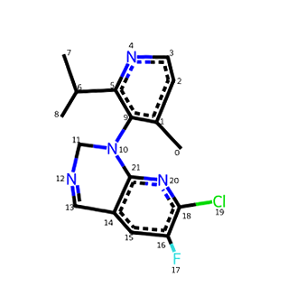 Cc1ccnc(C(C)C)c1N1CN=Cc2cc(F)c(Cl)nc21